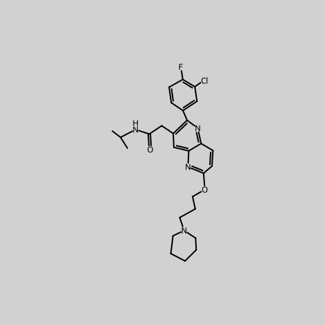 CC(C)NC(=O)Cc1cc2nc(OCCCN3CCCCC3)ccc2nc1-c1ccc(F)c(Cl)c1